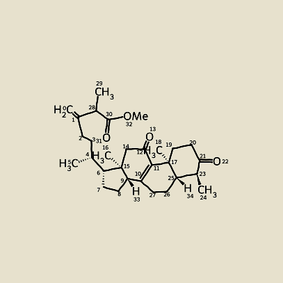 C=C(CC[C@@H](C)[C@H]1CC[C@H]2C3=C(C(=O)C[C@]12C)[C@@]1(C)CCC(=O)[C@@H](C)[C@@H]1CC3)C(C)C(=O)OC